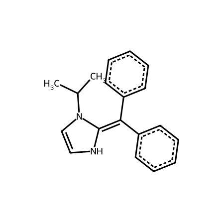 CC(C)N1C=CNC1=C(c1ccccc1)c1ccccc1